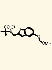 CCOC(=O)C(C)(C)SCc1cc2cc(OCOC)ccc2s1